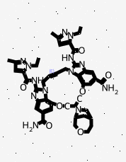 CCn1nc(C)cc1C(=O)Nc1nc2cc(C(N)=O)cc3c2n1C/C=C/Cn1c(NC(=O)c2cc(C)nn2CC)nc2cc(C(N)=O)cc(c21)OCC(N1CC2CCOCC1C2)CO3